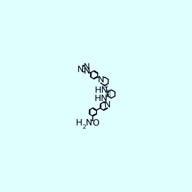 NC(=O)c1cccc(-c2ccnc(N[C@@H]3CCCC[C@H]3N[C@H]3CCCN(c4ccc(-n5cncn5)cc4)C3)c2)c1